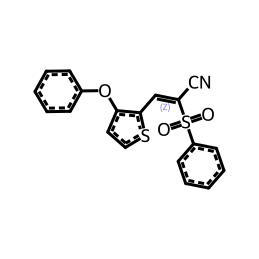 N#C/C(=C/c1sccc1Oc1ccccc1)S(=O)(=O)c1ccccc1